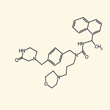 CC(NC(=O)N(CCCN1CCOCC1)Cc1ccc(CN2CCNC(=O)C2)cc1)c1cccc2ccccc12